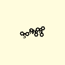 c1ccc(-n2c3ccccc3c3ccc4c(c5ccccc5n4-c4cccc(-c5ccc6sc7ccccc7c6c5)n4)c32)cc1